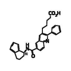 O=C(O)CCCCc1cc2cc(C(=O)N[C@H]3CCCc4ccccc43)ccc2nc1-c1ccccc1